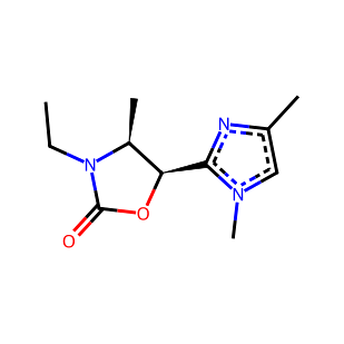 CCN1C(=O)O[C@H](c2nc(C)cn2C)[C@@H]1C